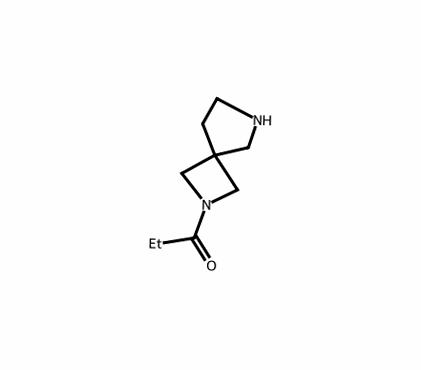 CCC(=O)N1CC2(CCNC2)C1